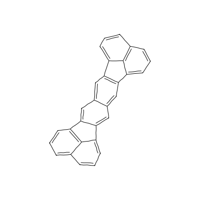 c1cc2cccc3c4cc5cc6c(cc5cc4c(c1)c23)c1cccc2cccc6c21